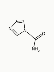 NC(=O)n1c[c]nc1